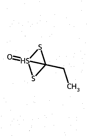 CCC12S[SH]1(=O)S2